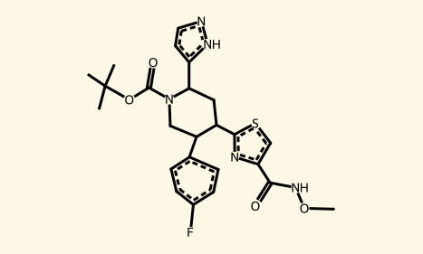 CONC(=O)c1csc(C2CC(c3ccn[nH]3)N(C(=O)OC(C)(C)C)CC2c2ccc(F)cc2)n1